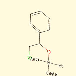 CC[Si](OC)(OC)OC(CCl)c1ccccc1